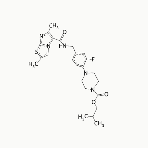 Cc1cn2c(C(=O)NCc3ccc(N4CCN(C(=O)OCC(C)C)CC4)c(F)c3)c(C)nc2s1